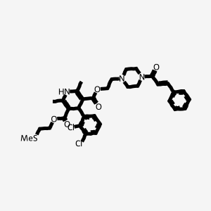 CSCCOC(=O)C1=C(C)NC(C)=C(C(=O)OCCN2CCN(C(=O)/C=C/c3ccccc3)CC2)C1c1cccc(Cl)c1Cl